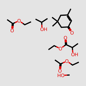 CC(C)O.CC1=CC(=O)CC(C)(C)C1.CCOC(=O)C(C)O.CCOC(C)=O.CCOC(C)=O.CO